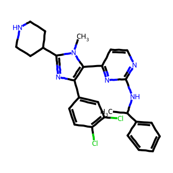 CC(Nc1nccc(-c2c(-c3ccc(Cl)c(Cl)c3)nc(C3CCNCC3)n2C)n1)c1ccccc1